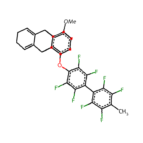 COc1ccc(Oc2c(F)c(F)c(-c3c(F)c(F)c(C)c(F)c3F)c(F)c2F)c2c1C1C3=CCCC=C3C2C2=CCCC=C21